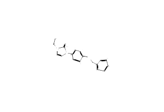 CCn1ccn(-c2ccc(OCc3ccccc3)cc2)c1=O